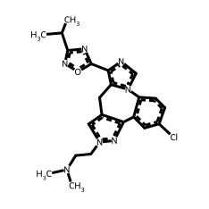 CC(C)c1noc(-c2ncn3c2Cc2cn(CCN(C)C)nc2-c2cc(Cl)ccc2-3)n1